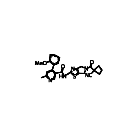 COc1ccccc1-c1cc(C)ncc1C(=O)Nc1nc2c(s1)CN(C(=O)C1(C#N)CCC1)C2